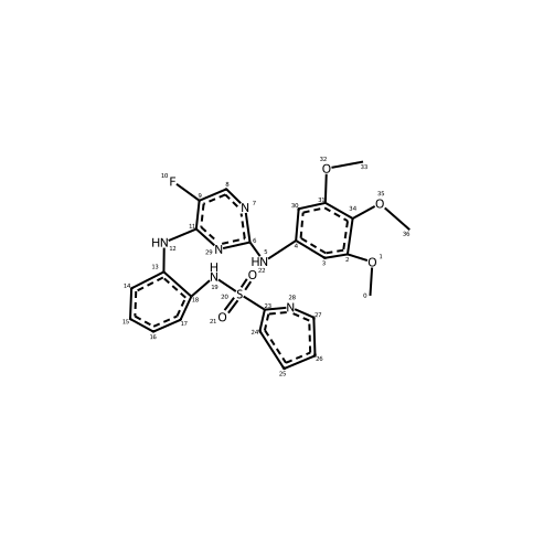 COc1cc(Nc2ncc(F)c(Nc3ccccc3NS(=O)(=O)c3ccccn3)n2)cc(OC)c1OC